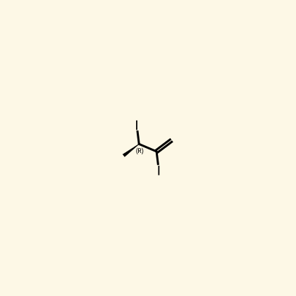 C=C(I)[C@@H](C)I